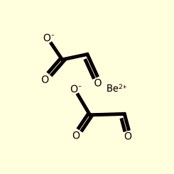 O=CC(=O)[O-].O=CC(=O)[O-].[Be+2]